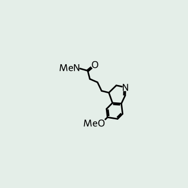 CNC(=O)CCCC1CN=Cc2ccc(OC)cc21